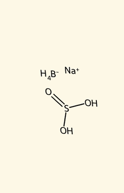 O=S(O)O.[BH4-].[Na+]